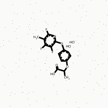 Cc1c(F)nc(Oc2ccc(OC(C)C(=O)O)cc2)c(F)c1F.Cl.Cl